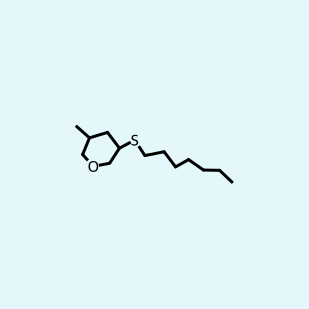 CCCCCCCSC1COCC(C)C1